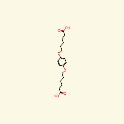 O=C(O)CCCCCOc1ccc(OCCCCCC(=O)O)cc1